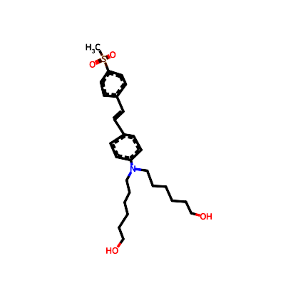 CS(=O)(=O)c1ccc(C=Cc2ccc(N(CCCCCCO)CCCCCCO)cc2)cc1